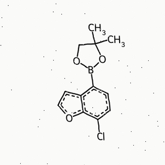 CC1(C)COB(c2ccc(Cl)c3occc23)O1